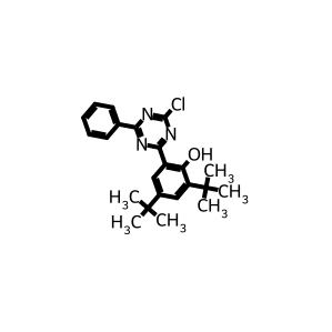 CC(C)(C)c1cc(-c2nc(Cl)nc(-c3ccccc3)n2)c(O)c(C(C)(C)C)c1